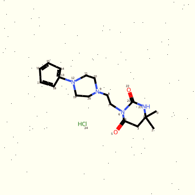 CC1(C)CC(=O)N(CCN2CCN(c3ccccc3)CC2)C(=O)N1.Cl